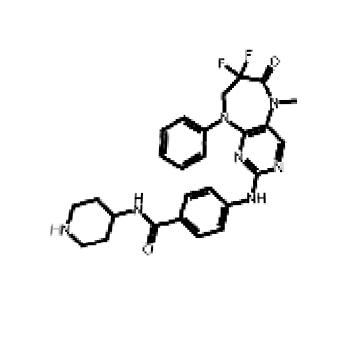 CN1C(=O)C(F)(F)CN(c2ccccc2)c2nc(Nc3ccc(C(=O)NC4CCNCC4)cc3)ncc21